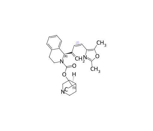 C=C(/C=C\c1nc(C)oc1C)[C@@H]1c2ccccc2CCN1C(=O)O[C@@H]1CN2CCC1CC2